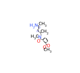 C=C(/C=C\C=C(\C)N)CN(C)C(=O)c1cccc(C(=O)OC)c1